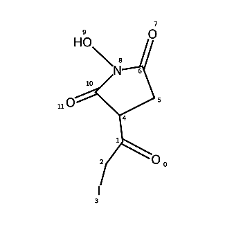 O=C(CI)C1CC(=O)N(O)C1=O